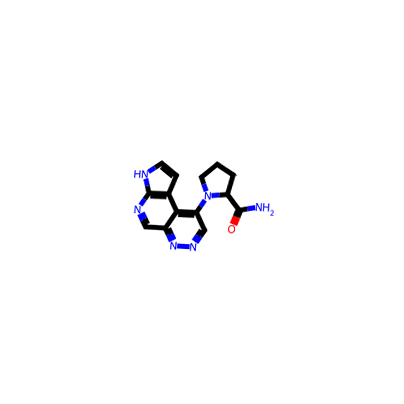 NC(=O)C1[CH]CCN1c1cnnc2cnc3[nH]ccc3c12